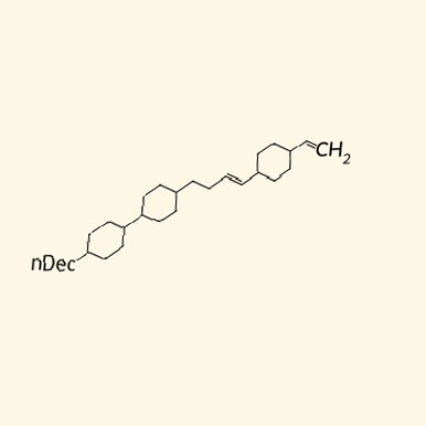 C=CC1CCC(C=CCCC2CCC(C3CCC(CCCCCCCCCC)CC3)CC2)CC1